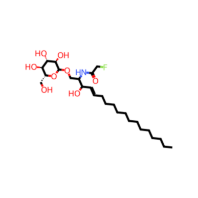 CCCCCCCCCCCCCC=CC(O)C(COC1O[C@H](CO)[C@@H](O)[C@H](O)[C@H]1O)NC(=O)CF